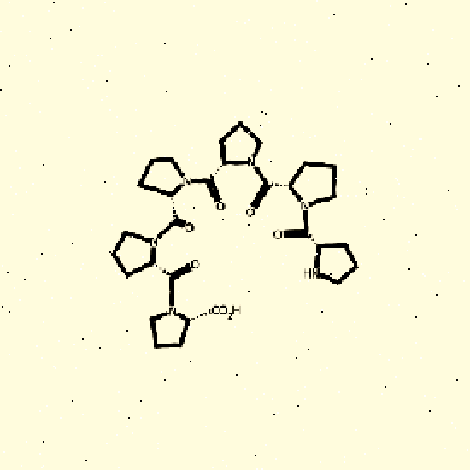 O=C(O)[C@@H]1CCCN1C(=O)[C@@H]1CCCN1C(=O)[C@@H]1CCCN1C(=O)[C@@H]1CCCN1C(=O)[C@@H]1CCCN1C(=O)[C@@H]1CCCN1